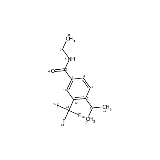 CCNC(=O)c1ccc(C(C)C)c(C(F)(F)F)c1